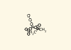 C=Cc1c(C=C)n2c3ccccc3c3cc(N(C4=CC=C(C5=CC=C(C6=CC=CCC6)CC5)CC4)c4ccc5c(c4)c4ccccc4n5-c4ccccc4)cc1c32